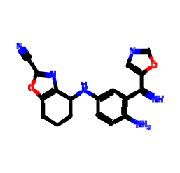 N#Cc1nc2c(o1)CCCC2Nc1ccc(N)c(C(=N)c2cnco2)c1